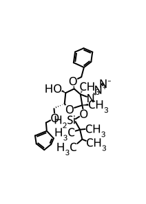 CC(C)C(C)(C)[SiH2]O[C@]1(C)O[C@H](COCc2ccccc2)[C@@H](O)[C@H](OCc2ccccc2)[C@@]1(C)N=[N+]=[N-]